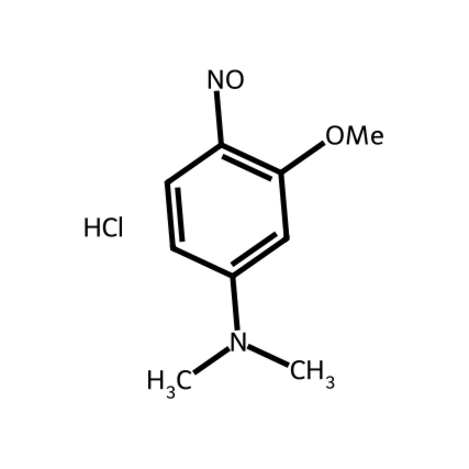 COc1cc(N(C)C)ccc1N=O.Cl